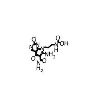 NC(=O)c1c(N)n(CCCNC(=O)O)c2nc(Cl)ncc2c1=O